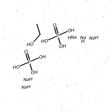 CCO.O=P(O)(O)O.O=P(O)(O)O.[NaH].[NaH].[NaH].[NaH].[NaH]